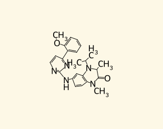 COc1ccccc1-c1ccnc(Nc2ccc3c(c2)N(C(C)C)C(C)C(=O)N3C)n1